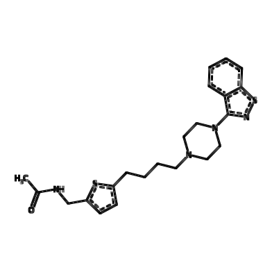 CC(=O)NCc1ccc(CCCCN2CCN(c3nsc4ccccc34)CC2)s1